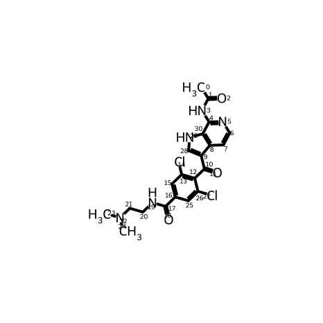 CC(=O)Nc1nccc2c(C(=O)c3c(Cl)cc(C(=O)NCCN(C)C)cc3Cl)c[nH]c12